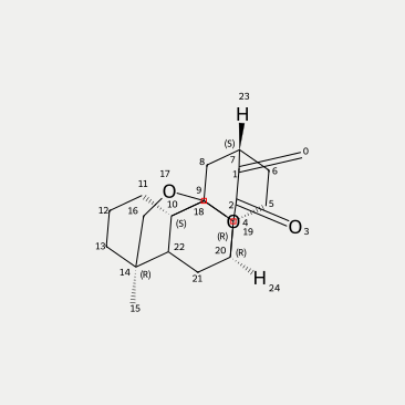 C=C1C(=O)[C@]23CC[C@H]1CC2[C@@]12CCC[C@@]4(C)COC1O[C@@H]3CC42